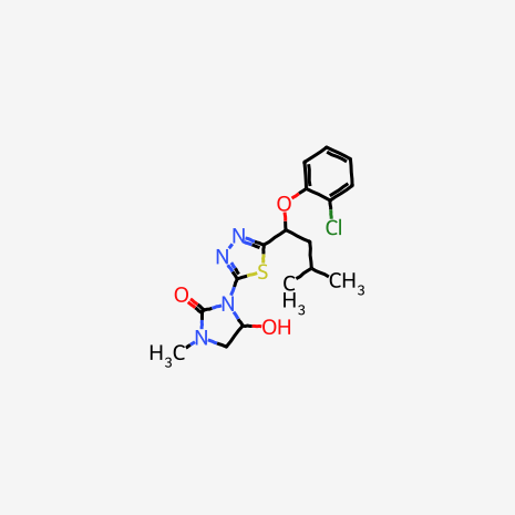 CC(C)CC(Oc1ccccc1Cl)c1nnc(N2C(=O)N(C)CC2O)s1